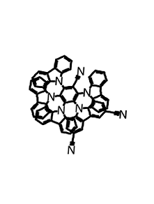 N#Cc1ccc2c(c1)c1cc(C#N)ccc1n2-c1c(-n2c3ccccc3c3ccccc32)c(C#N)c(-n2c3ccccc3c3ccccc32)c(-n2c3ccccc3c3ccccc32)c1-n1c2ccccc2c2ccccc21